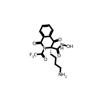 NCCCC[C@@]1(C(=O)NO)C(=O)c2ccccc2C(=O)N1C(=O)C(F)(F)F